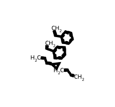 C=CC=C.C=CC=C1CC1.C=Cc1ccccc1.C=Cc1ccccc1